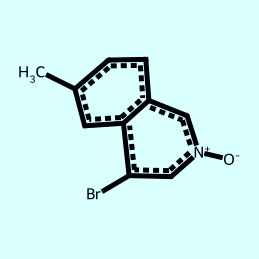 Cc1ccc2c[n+]([O-])cc(Br)c2c1